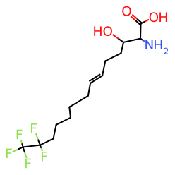 NC(C(=O)O)C(O)CC/C=C/CCCCCC(F)(F)C(F)(F)F